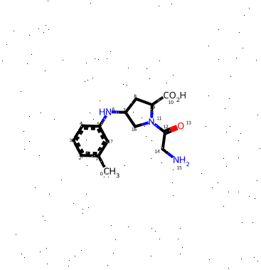 Cc1cccc(NC2CC(C(=O)O)N(C(=O)CN)C2)c1